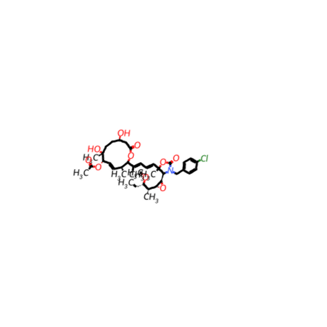 CC[C@H](OC)[C@@H](C)[C@H]1O[C@@H]1C1N(Cc2ccc(Cl)cc2)C(=O)OC1(C)/C=C/C=C(\C)C1OC(=O)C[C@H](O)CC[C@@](C)(O)[C@@H](OC(C)=O)/C=C/[C@@H]1C